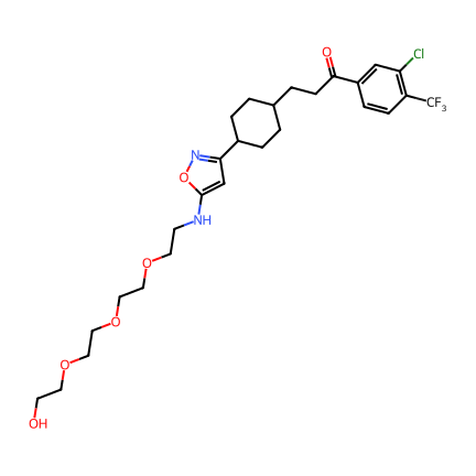 O=C(CCC1CCC(c2cc(NCCOCCOCCOCCO)on2)CC1)c1ccc(C(F)(F)F)c(Cl)c1